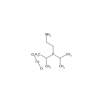 CC(C)P(CCN)C(C)C.[Cl][Co][Cl]